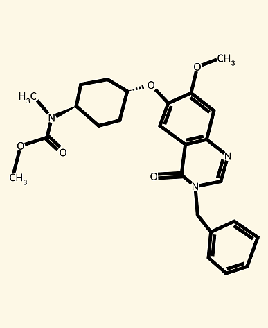 COC(=O)N(C)[C@H]1CC[C@H](Oc2cc3c(=O)n(Cc4ccccc4)cnc3cc2OC)CC1